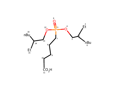 CCCCC(CC)COP(=O)(CCCCC(=O)O)OCC(CC)CCCC